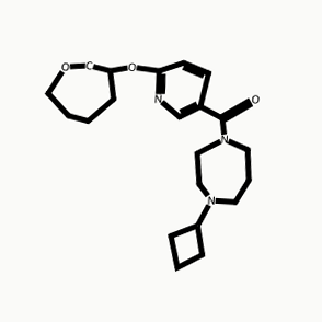 O=C(c1ccc(OC2CCCCOC2)nc1)N1CCCN(C2CCC2)CC1